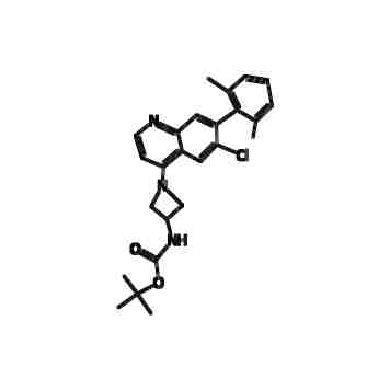 Cc1cccc(C)c1-c1cc2nccc(N3CC(NC(=O)OC(C)(C)C)C3)c2cc1Cl